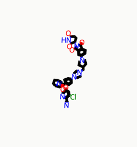 N#Cc1ncc(OC2CC3CCC(C2)N3C(=O)c2ccc(N3CCN(CC4CCN(c5ccc6c(c5)C(=O)N(C5CCC(=O)NC5=O)C6=O)CC4)CC3)cc2)cc1Cl